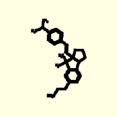 CN(C)c1ccc(/C=C/C23OCCN2c2ccc(CCS(=O)(=O)O)cc2C3(C)C)cc1